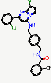 O=C(NCc1ccc(CNc2cc(-c3ccccc3Cl)nc3c(Br)ccn23)cc1)c1ccccc1C(F)(F)F